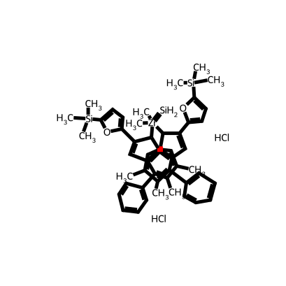 Cc1cc2c(c(-c3ccccc3)c1C)C=C(c1ccc([Si](C)(C)C)o1)[CH]2[Zr]([CH3])([CH3])(=[SiH2])[CH]1C(c2ccc([Si](C)(C)C)o2)=Cc2c1cc(C)c(C)c2-c1ccccc1.Cl.Cl